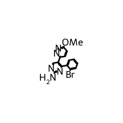 COc1ccc(-c2cnc(N)nc2-c2ccccc2Br)nn1